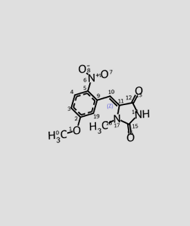 COc1ccc([N+](=O)[O-])c(/C=C2/C(=O)NC(=O)N2C)c1